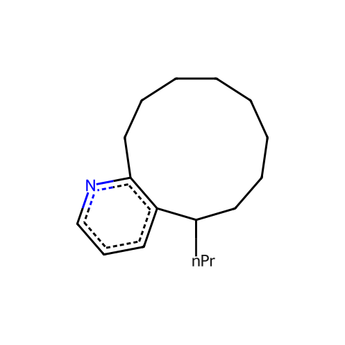 CCCC1CCCCCCCCc2ncccc21